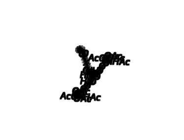 CC(=O)N[C@@H]1C(OCCOCCOCCNC(=O)c2cc(NC(=O)CNC(=O)CCCCCCCCCCC(=O)OCc3ccccc3)cc(C(=O)NCCOCCOCCOC3O[C@H](COC(C)=O)[C@H](OC(C)=O)[C@H](OC(C)=O)[C@H]3NC(C)=O)c2)O[C@@H](COC(C)=O)[C@@H](OC(C)=O)[C@H]1OC(C)=O